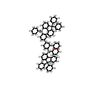 c1ccc(-c2cc(-c3ccc(N(c4ccccc4)c4cccc5c4-c4ccccc4C5(c4ccccc4)c4ccccc4)cc3)ccc2N(c2ccccc2)c2cccc3c2-c2ccccc2C3(c2ccccc2)c2ccccc2)cc1